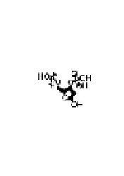 C[PH](C)(O)OCC1OC(O)CC1OP(=O)(O)O